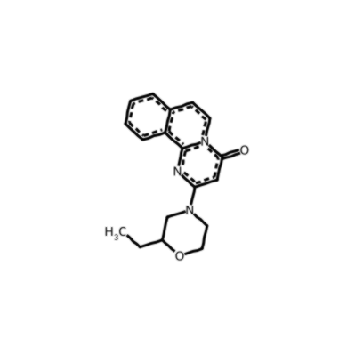 CCC1CN(c2cc(=O)n3ccc4ccccc4c3n2)CCO1